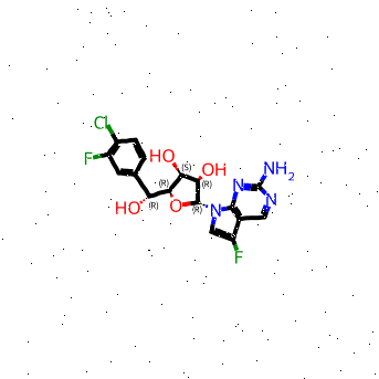 Nc1ncc2c(F)cn([C@@H]3O[C@H]([C@H](O)c4ccc(Cl)c(F)c4)[C@@H](O)[C@H]3O)c2n1